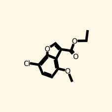 CCOC(=O)c1coc2c(Cl)ccc(OC)c12